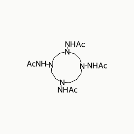 CC(=O)NN1CCCN(NC(C)=O)CCN(NC(C)=O)CCN(NC(C)=O)CC1